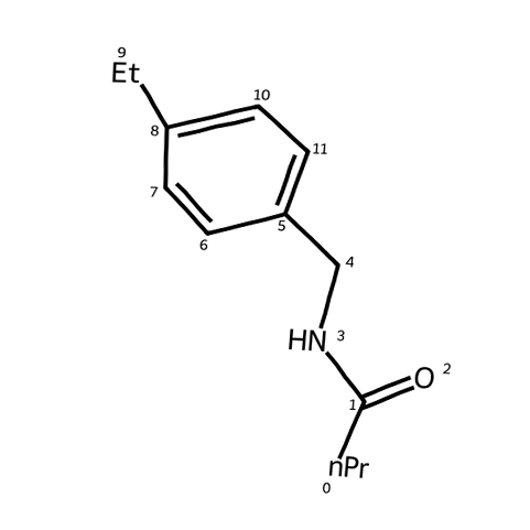 CCCC(=O)NCc1ccc(CC)cc1